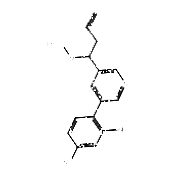 C=CCC(NC(=O)O)c1cncc(-c2ccc(C#N)cc2N)c1